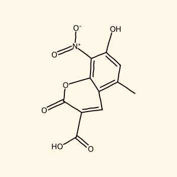 Cc1cc(O)c([N+](=O)[O-])c2oc(=O)c(C(=O)O)cc12